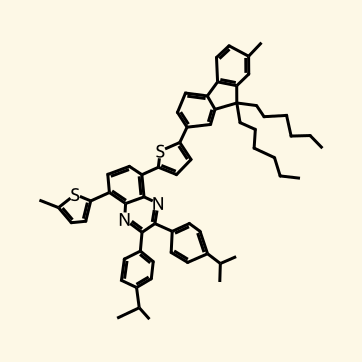 CCCCCCC1(CCCCCC)c2cc(C)ccc2-c2ccc(-c3ccc(-c4ccc(-c5ccc(C)s5)c5nc(-c6ccc(C(C)C)cc6)c(-c6ccc(C(C)C)cc6)nc45)s3)cc21